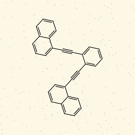 C(#Cc1cccc2ccccc12)c1ccccc1C#Cc1cccc2ccccc12